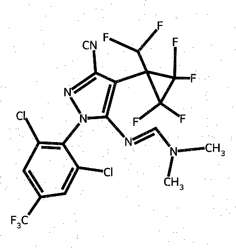 CN(C)C=Nc1c(C2(C(F)F)C(F)(F)C2(F)F)c(C#N)nn1-c1c(Cl)cc(C(F)(F)F)cc1Cl